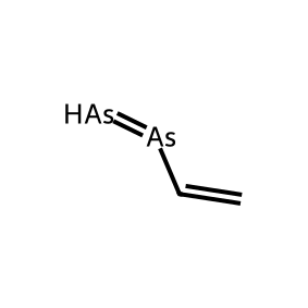 C=C[As]=[AsH]